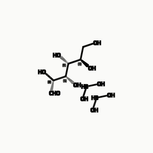 O=C[C@H](O)[C@@H](O)[C@H](O)[C@H](O)CO.OBO.OBO